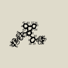 CC1(C)OB(B2OC(C)(C)C(C)(Cc3cc(-c4cccc(B5OC(C)(C)C(C)(C)O5)c4)cc4c5ccccc5c5ccccc5c34)O2)OC1(C)C